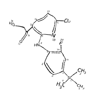 C[Si](C)(C)c1ccc(Nc2nc(Cl)ccc2C(=O)O)c(F)c1